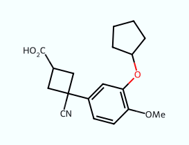 COc1ccc(C2(C#N)CC(C(=O)O)C2)cc1OC1CCCC1